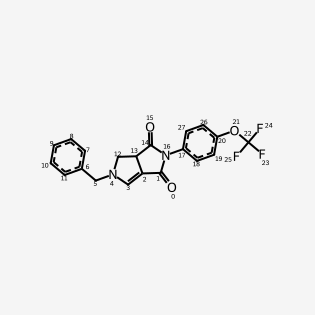 O=C1C2=CN(Cc3ccccc3)CC2C(=O)N1c1ccc(OC(F)(F)F)cc1